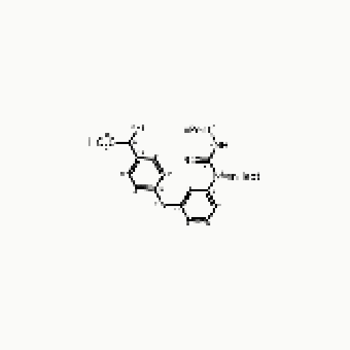 CCCCCCCN(C(=O)NCCCCC)c1cccc(Sc2ccc(C(CC)C(=O)O)cc2)c1